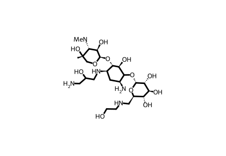 CN[C@@H]1[C@@H](O)[C@@H](O[C@H]2[C@H](NCC(O)CN)C[C@H](N)C(O[C@H]3O[C@H](CNCCO)[C@@H](O)[C@H](O)[C@H]3O)[C@@H]2O)OC[C@]1(C)O